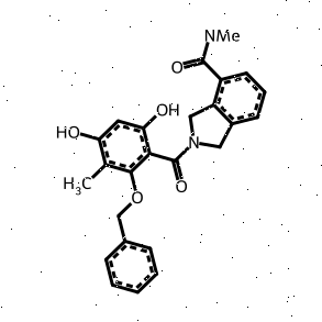 CNC(=O)c1cccc2c1CN(C(=O)c1c(O)cc(O)c(C)c1OCc1ccccc1)C2